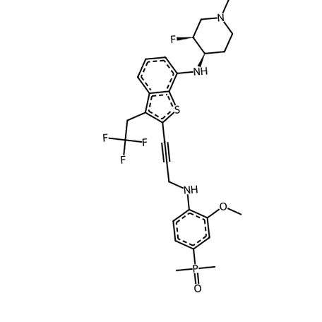 COc1cc(P(C)(C)=O)ccc1NCC#Cc1sc2c(N[C@@H]3CCN(C)C[C@@H]3F)cccc2c1CC(F)(F)F